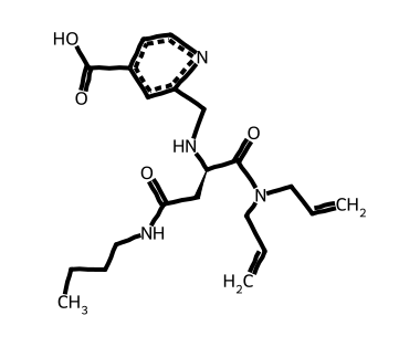 C=CCN(CC=C)C(=O)[C@@H](CC(=O)NCCCC)NCc1cc(C(=O)O)ccn1